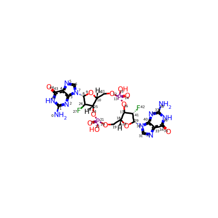 Nc1nc2c(ncn2[C@@H]2O[C@@H]3COP(=O)(O)OC4[C@@H](COP(=O)(O)O[C@@H]3C2F)O[C@@H](n2cnc3c(=O)[nH]c(N)nc32)[C@H]4F)c(=O)[nH]1